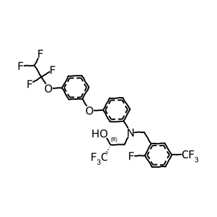 O[C@H](CN(Cc1cc(C(F)(F)F)ccc1F)c1cccc(Oc2cccc(OC(F)(F)C(F)F)c2)c1)C(F)(F)F